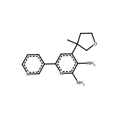 CC1(c2cc(-c3cccnc3)nc(N)c2N)CCOC1